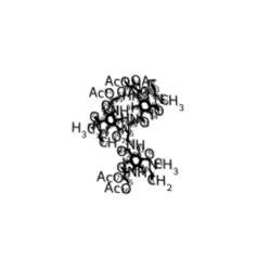 C=CCN(C)C(=O)c1c(I)c(NC(=O)C(COC(C)=O)OC(C)=O)c(I)c(C(=O)NCCN(CCNC(=O)c2c(I)c(NC(=O)C(COC(C)=O)OC(C)=O)c(I)c(C(=O)N(C)CC=C)c2I)C(=O)c2c(I)c(NC(=O)C(COC(C)=O)OC(C)=O)c(I)c(C(=O)N(C)CC=C)c2I)c1I